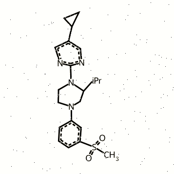 CC(C)C1CN(c2cccc(S(C)(=O)=O)c2)CCN1c1ncc(C2CC2)cn1